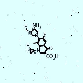 Cc1c(N2C[C@@H](CF)[C@@H](N)C2)c(F)cc2c(=O)c(C(=O)O)cn([C@@H]3C[C@@H]3F)c12